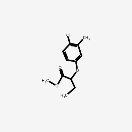 CCC(Oc1ccc(Cl)c(C)c1)C(=O)OC